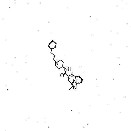 Cc1nc2cccc3n2c1C=C(C(=O)NC1CCN(CCCc2ccccc2)CC1)S3